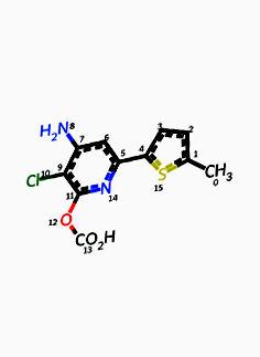 Cc1ccc(-c2cc(N)c(Cl)c(OC(=O)O)n2)s1